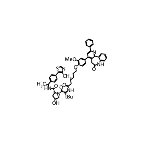 COc1cc(-c2cc(-c3ccccc3)nc3c2CC(=O)Nc2ccccc2-3)ccc1OCCCCCC(=O)N[C@H](C(=O)N1C[C@H](O)C[C@H]1C(=O)N[C@@H](C)c1ccc(-c2scnc2C)cc1)C(C)(C)C